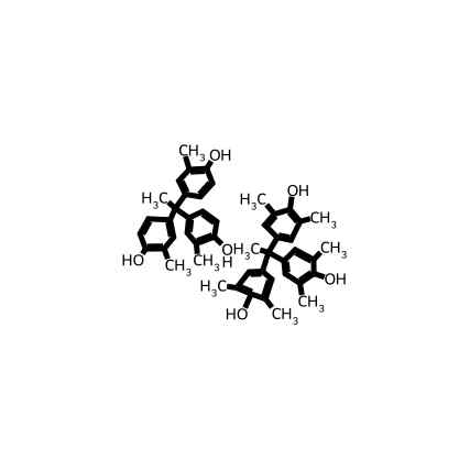 Cc1cc(C(C)(c2cc(C)c(O)c(C)c2)c2cc(C)c(O)c(C)c2)cc(C)c1O.Cc1cc(C(C)(c2ccc(O)c(C)c2)c2ccc(O)c(C)c2)ccc1O